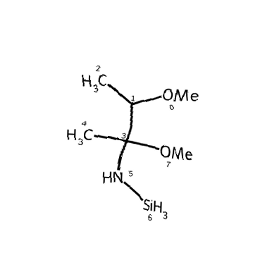 COC(C)C(C)(N[SiH3])OC